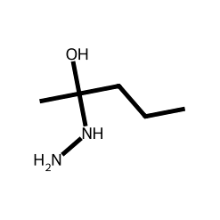 CCCC(C)(O)NN